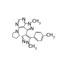 Cc1ccc(-c2c(-c3nn(C)c4ncnc(N5CCCC5)c34)cnn2C)cc1